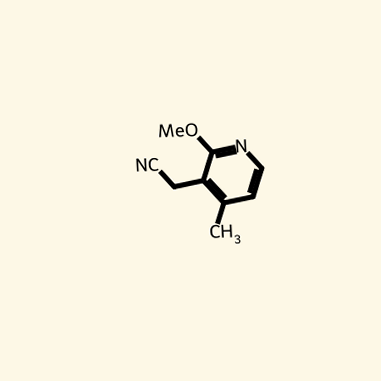 COc1nccc(C)c1CC#N